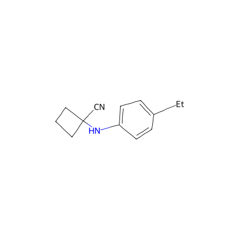 CCc1ccc(NC2(C#N)CCC2)cc1